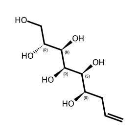 C=CC[C@@H](O)[C@H](O)[C@@H](O)[C@H](O)[C@H](O)CO